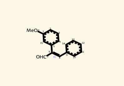 COc1cccc(/C(C=O)=C\c2ccccc2)c1